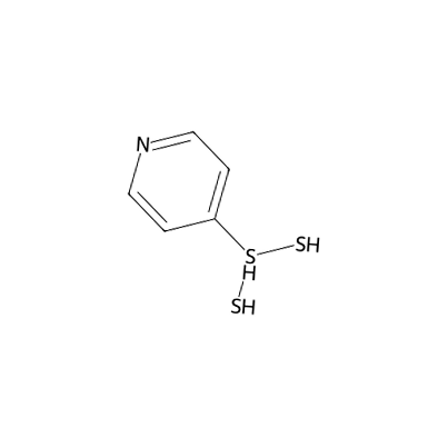 S[SH](S)c1ccncc1